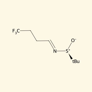 CC(C)(C)[S@+]([O-])/N=C/CCC(F)(F)F